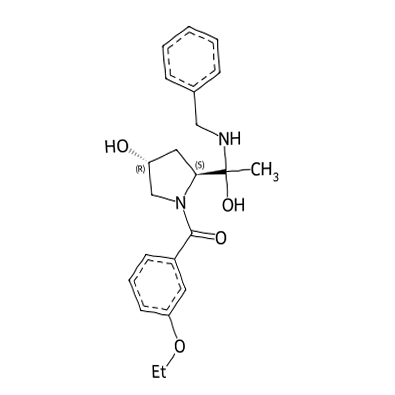 CCOc1cccc(C(=O)N2C[C@H](O)C[C@H]2C(C)(O)NCc2ccccc2)c1